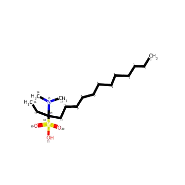 CCCCCCCCCCCCC(CC)(N(C)C)S(=O)(=O)O